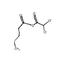 CCC[CH]C(=O)OC(=O)C(Cl)Cl